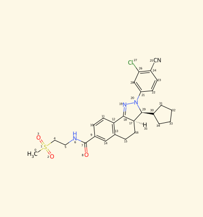 CS(=O)(=O)CCNC(=O)c1ccc2c(c1)CC[C@H]1C2=NN(c2ccc(C#N)c(Cl)c2)[C@H]1C1CCCC1